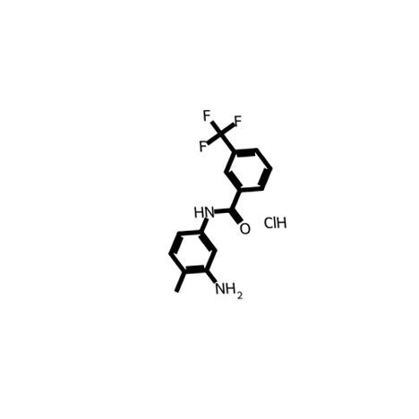 Cc1ccc(NC(=O)c2cccc(C(F)(F)F)c2)cc1N.Cl